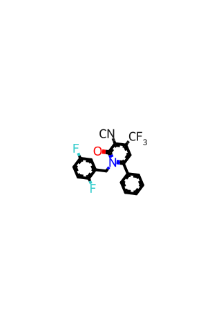 [C-]#[N+]c1c(C(F)(F)F)cc(-c2ccccc2)n(Cc2cc(F)ccc2F)c1=O